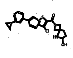 O=C(c1sc2cc(-c3cccc(C4CC4)c3)ccc2c1Cl)N1CC2(CCC(O)N2)C1